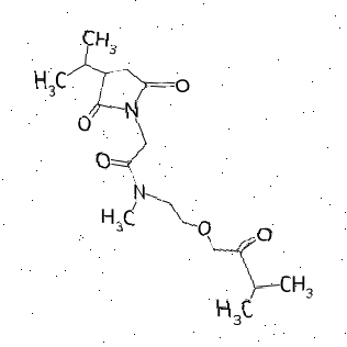 CC(C)C(=O)COCCN(C)C(=O)CN1C(=O)CC(C(C)C)C1=O